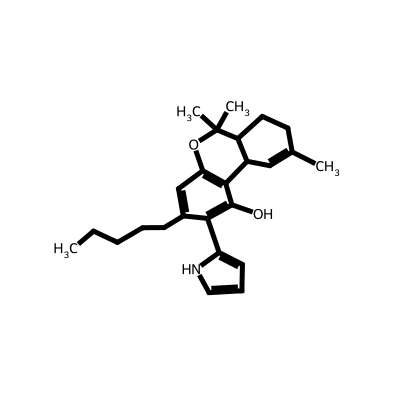 CCCCCc1cc2c(c(O)c1-c1ccc[nH]1)C1C=C(C)CCC1C(C)(C)O2